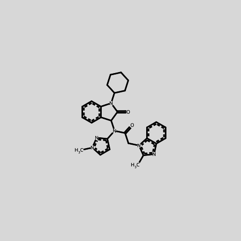 Cc1nc2ccccc2n1CC(=O)N(c1ccn(C)n1)C1C(=O)N(C2CCCCC2)c2ccccc21